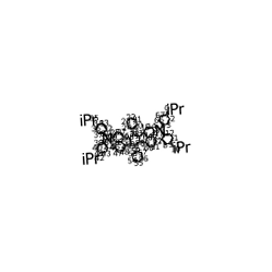 CC(C)c1ccc(N(c2ccc(C(C)C)cc2)c2ccc3c4c(-c5ccccc5)c5c6ccc(N(c7ccc(C(C)C)cc7)c7ccc(C(C)C)cc7)c7cccc(c5c(-c5ccccc5)c4c4cccc2c43)c76)cc1